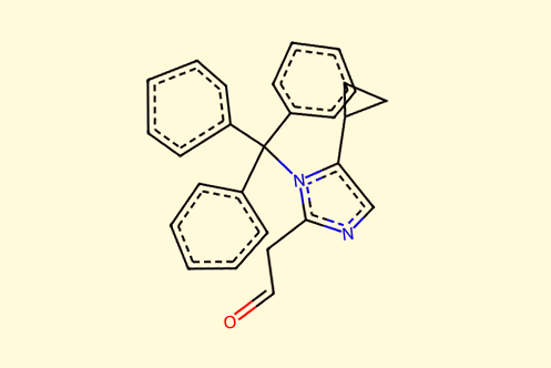 O=CCc1ncc(C2CC2)n1C(c1ccccc1)(c1ccccc1)c1ccccc1